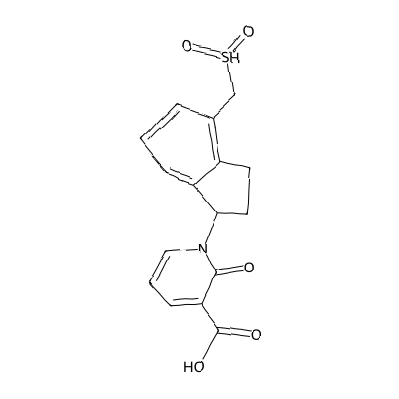 O=C(O)c1cccn(C2CCc3c(C[SH](=O)=O)cccc32)c1=O